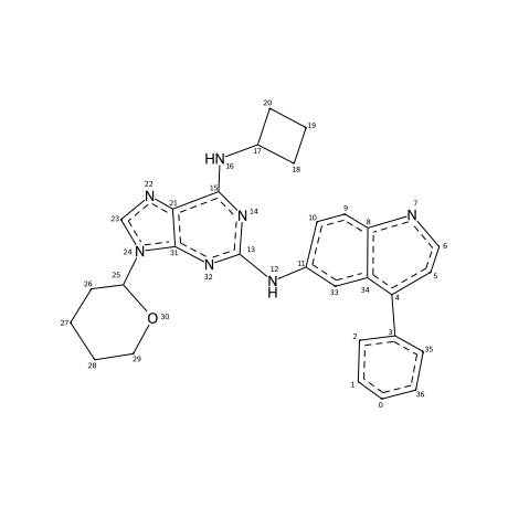 c1ccc(-c2ccnc3ccc(Nc4nc(NC5CCC5)c5ncn(C6CCCCO6)c5n4)cc23)cc1